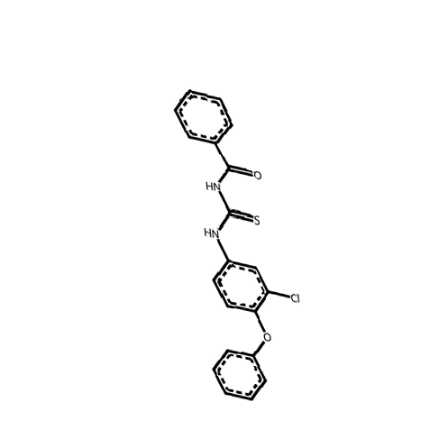 O=C(NC(=S)Nc1ccc(Oc2ccccc2)c(Cl)c1)c1ccccc1